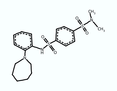 CN(C)S(=O)(=O)c1ccc(S(=O)(=O)Nc2ccccc2N2CCCCCC2)cc1